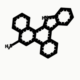 Bc1cc2c3ccccc3c3c4ccccc4[nH]c3c2c2ccccc12